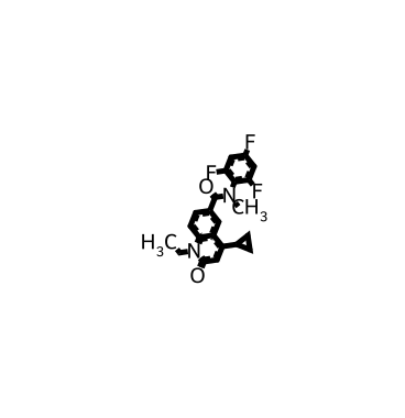 CCn1c(=O)cc(C2CC2)c2cc(C(=O)N(C)c3c(F)cc(F)cc3F)ccc21